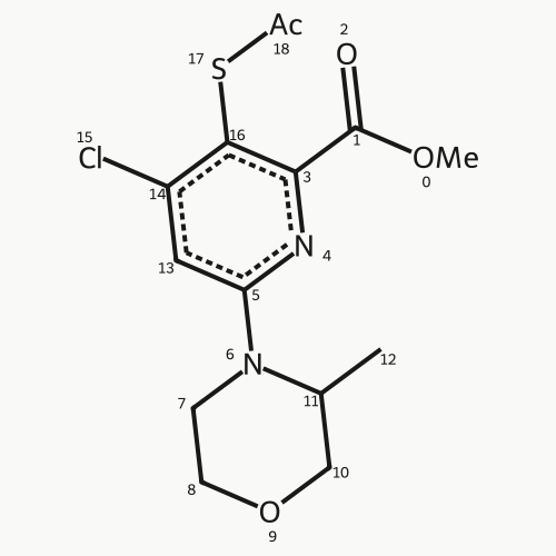 COC(=O)c1nc(N2CCOCC2C)cc(Cl)c1SC(C)=O